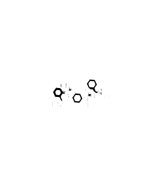 CN(C)c1nc(N[C@H]2CC[C@@H](CN(C(N)=O)c3c(Cl)cccc3CN)CC2)nc2c1CCCC2